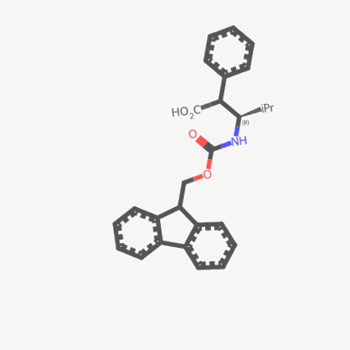 CC(C)[C@@H](NC(=O)OCC1c2ccccc2-c2ccccc21)C(C(=O)O)c1ccccc1